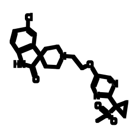 CS(=O)(=O)C1(c2ncc(OCCN3CCC4(CC3)C(=O)Nc3ccc(Cl)cc34)cn2)CC1